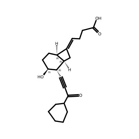 O=C(O)CCC=C1C[C@H]2[C@H](C#CC(=O)C3CCCCC3)[C@@H](O)CC[C@@H]12